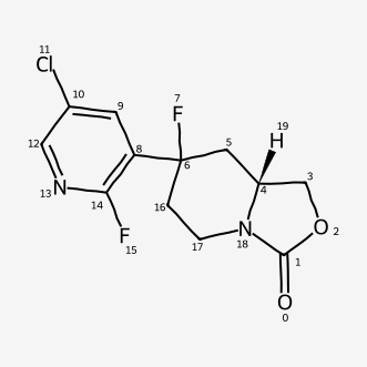 O=C1OC[C@H]2CC(F)(c3cc(Cl)cnc3F)CCN12